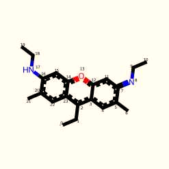 [CH2]Cc1c2cc(C)c(=NCC)cc-2oc2cc(NCC)c(C)cc12